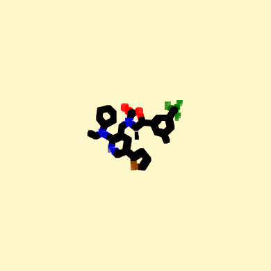 CCN(c1ncc(-c2cccs2)cc1CN1C(=O)OC(c2cc(C)cc(C(F)(F)F)c2)[C@@H]1C)C1CCCCC1